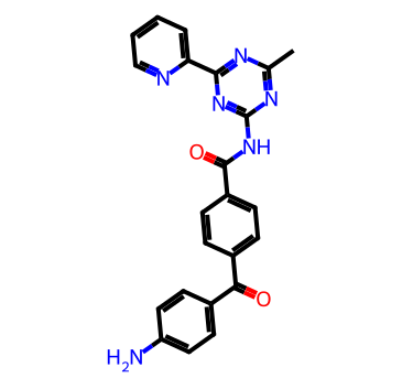 Cc1nc(NC(=O)c2ccc(C(=O)c3ccc(N)cc3)cc2)nc(-c2ccccn2)n1